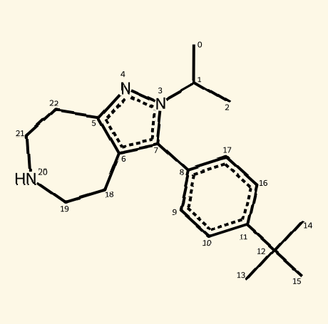 CC(C)n1nc2c(c1-c1ccc(C(C)(C)C)cc1)CCNCC2